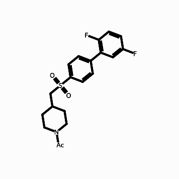 CC(=O)N1CCC(CS(=O)(=O)c2ccc(-c3cc(F)ccc3F)cc2)CC1